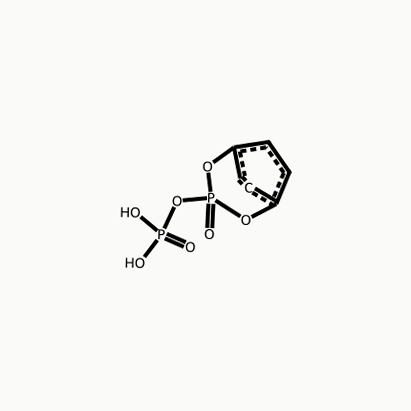 O=P(O)(O)OP1(=O)Oc2ccc(cc2)O1